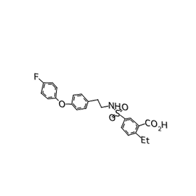 CCc1ccc(S(=O)(=O)NCCc2ccc(Oc3ccc(F)cc3)cc2)cc1C(=O)O